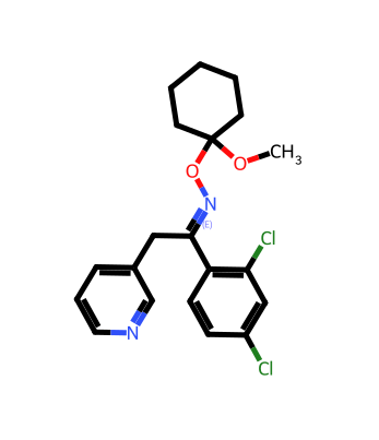 COC1(O/N=C(\Cc2cccnc2)c2ccc(Cl)cc2Cl)CCCCC1